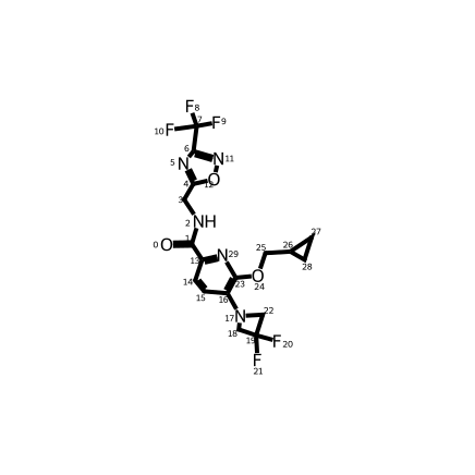 O=C(NCc1nc(C(F)(F)F)no1)c1ccc(N2CC(F)(F)C2)c(OCC2CC2)n1